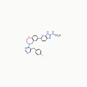 O=C(O)Nc1nc2ccc(-c3ccc4c(c3)CN(c3ncncc3Cc3ccc(F)cc3)CCO4)nc2[nH]1